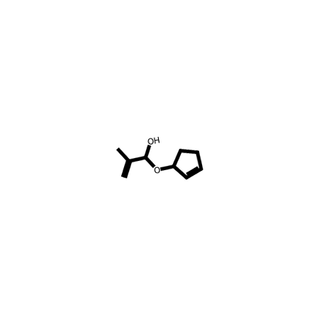 C=C(C)C(O)OC1C=CCC1